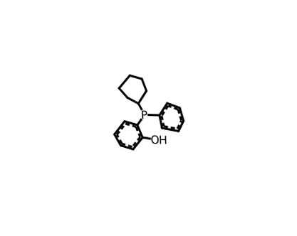 Oc1ccccc1P(c1ccccc1)C1CCCCC1